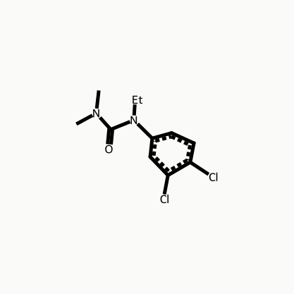 CCN(C(=O)N(C)C)c1ccc(Cl)c(Cl)c1